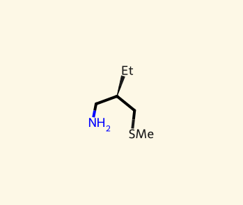 CC[C@H](CN)CSC